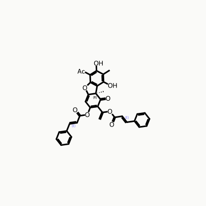 C=C(OC(=O)/C=C/c1ccccc1)C1=C(OC(=O)/C=C/c2ccccc2)C=C2Oc3c(C(C)=O)c(O)c(C)c(O)c3[C@@]2(C)C1=O